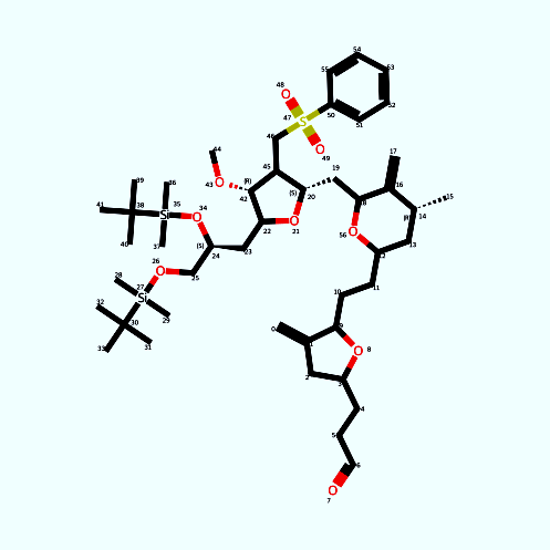 C=C1CC(CCC=O)OC1CCC1C[C@@H](C)C(=C)C(C[C@@H]2OC(C[C@@H](CO[Si](C)(C)C(C)(C)C)O[Si](C)(C)C(C)(C)C)[C@H](OC)C2CS(=O)(=O)c2ccccc2)O1